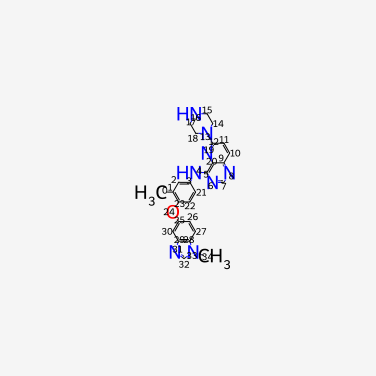 Cc1cc(Nc2ncnc3ccc(N4CCNCC4)nc23)ccc1Oc1ccc2c(c1)ncn2C